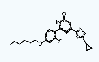 CCCCCCOc1ccc(-c2cc(-c3ncc(C4CC4)s3)cc(=O)[nH]2)c(F)c1